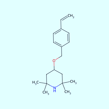 C=Cc1ccc(COC2CC(C)(C)NC(C)(C)C2)cc1